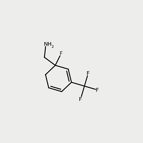 NCC1(F)C=C(C(F)(F)F)C=CC1